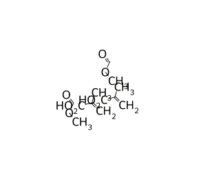 C=C(C)C(=O)O.C=C(C)C(=O)O.COC=O.COC=O